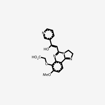 COc1ccc2c(c1OCC(=O)O)N=C(/C=C(\O)c1cccnc1)N1CCN=C21